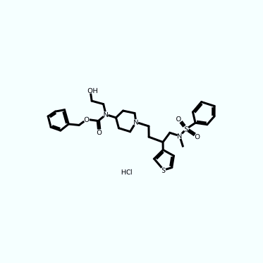 CN(CC(CCN1CCC(N(CCO)C(=O)OCc2ccccc2)CC1)c1ccsc1)S(=O)(=O)c1ccccc1.Cl